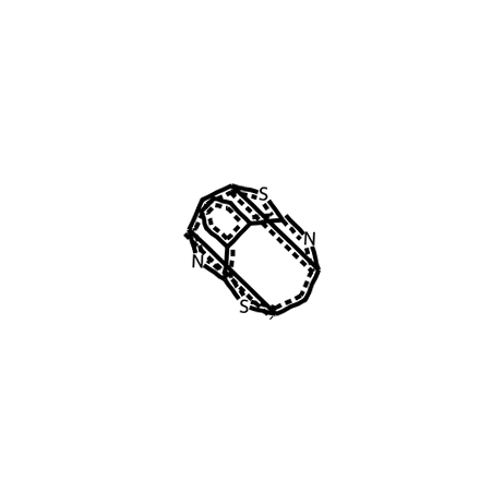 c1ccc2c3nc4cc5sc(nc5cc4s3)c2c1